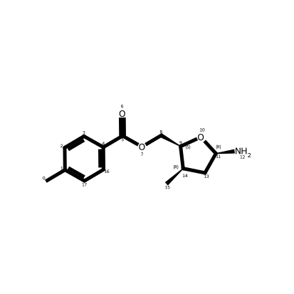 Cc1ccc(C(=O)OC[C@H]2O[C@@H](N)C[C@H]2C)cc1